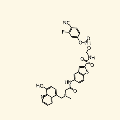 CN(CC(=O)Nc1ccc2sc(S(=O)(=O)NCO[PH](=O)Oc3ccc(C#N)c(F)c3)cc2c1)Cc1ccc(O)c2ncccc12